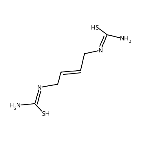 NC(S)=NCC=CCN=C(N)S